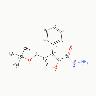 CC(C)(C)[Si](C)(C)OCc1coc(C(=O)NN)c1-c1ccccc1